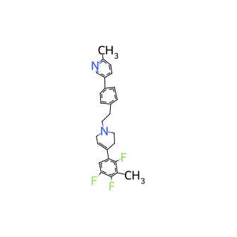 Cc1ccc(-c2ccc(CCN3CC=C(c4cc(F)c(F)c(C)c4F)CC3)cc2)cn1